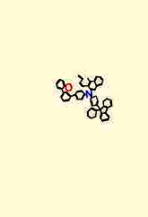 C=C/C=C\c1c(N(c2ccc(-c3cccc4c3oc3ccccc34)cc2)C2C=CC(C3(C4=CC=CCC4)C4=C(C=CCC4)c4ccccc43)=CC2)cc2ccccc2c1C